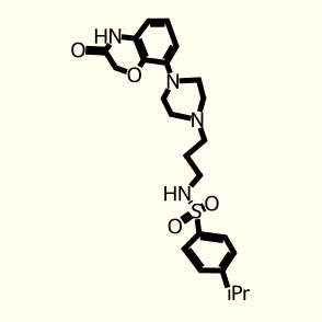 CC(C)c1ccc(S(=O)(=O)NCCCN2CCN(c3cccc4c3OCC(=O)N4)CC2)cc1